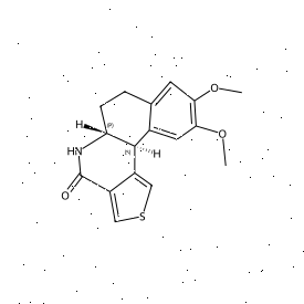 COc1cc2c(cc1OC)[C@H]1c3cscc3C(=O)N[C@@H]1CC2